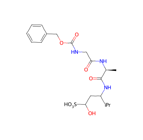 CC(C)C(CC(O)S(=O)(=O)O)NC(=O)[C@H](C)NC(=O)CNC(=O)OCc1ccccc1